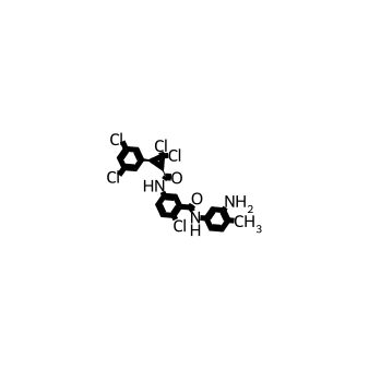 Cc1ccc(NC(=O)c2cc(NC(=O)[C@@H]3[C@@H](c4cc(Cl)cc(Cl)c4)C3(Cl)Cl)ccc2Cl)cc1N